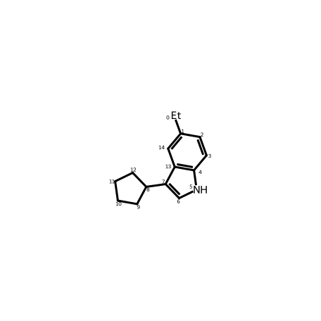 CCc1ccc2[nH]cc(C3CCCC3)c2c1